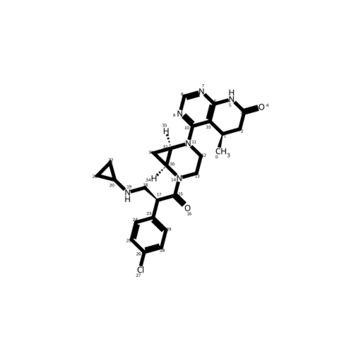 C[C@@H]1CC(=O)Nc2ncnc(N3CCN(C(=O)[C@H](CNC4CC4)c4ccc(Cl)cc4)[C@H]4C[C@H]43)c21